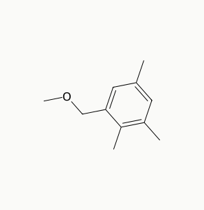 COCc1cc(C)cc(C)c1C